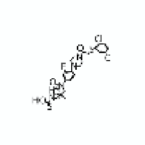 C[C@]1(CNC(O)=S)CN(c2ccc(N3CCN(C(=O)CSc4cc(Cl)ccc4Cl)CC3)c(F)c2)C(=O)O1